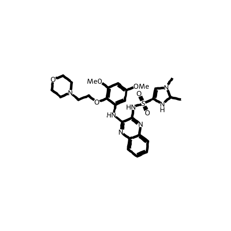 COc1cc(Nc2nc3ccccc3nc2NS(=O)(=O)C2=CN(C)C(C)N2)c(OCCN2CCOCC2)c(OC)c1